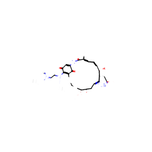 CO[C@H]1/C=C\C=C(/C)C(=O)NC2=CC(=O)C(NCCN(C)C)=C(C[C@@H](C)C[C@H](OC)[C@H](O)[C@@H](C)/C=C(\C)[C@@H]1CC(N)O)C2=O